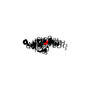 CC(C)C(=O)Nc1nc2c(nc(CO)n2CCOP(=S)(OCCC#N)OC[C@H]2O[C@@H](n3cnc4c(NC(=O)c5ccccc5)ncnc43)[C@H](O[PH](=O)O)[C@@H]2O[Si](C)(C)C(C)(C)C)c(=O)[nH]1